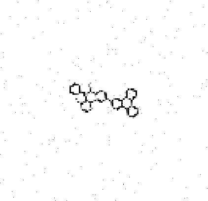 O=c1c2ccc(-c3ccc4c5ccccc5c5ccccc5c4c3)cc2c2cccc3c2n1-c1ccccc1S3